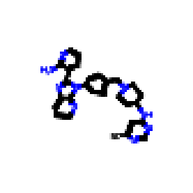 N#Cc1cc(NC2CCN(Cc3ccc(-n4c(-c5cccnc5N)nc5cccnc54)cc3)CC2)ncn1